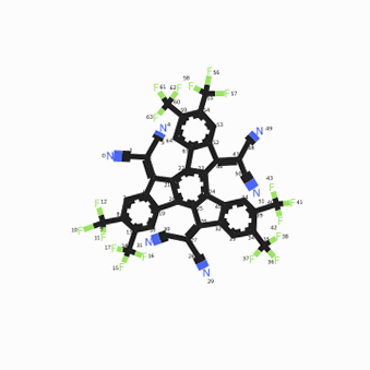 N#CC(C#N)=C1c2cc(C(F)(F)F)c(C(F)(F)F)cc2-c2c1c1c(c3c2C(=C(C#N)C#N)c2cc(C(F)(F)F)c(C(F)(F)F)cc2-3)C(=C(C#N)C#N)c2cc(C(F)(F)F)c(C(F)(F)F)cc2-1